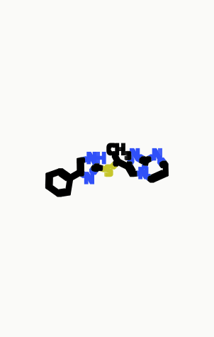 CC(Sc1nc(-c2ccccc2)c[nH]1)c1cn2cccnc2n1